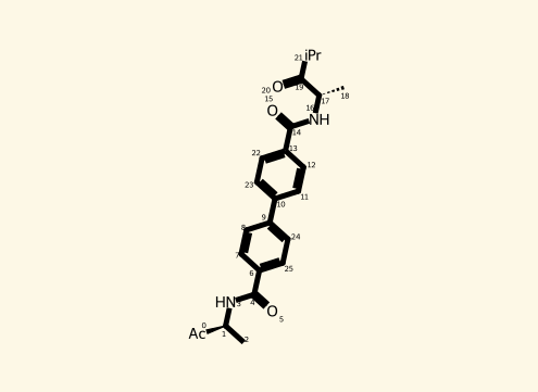 CC(=O)[C@H](C)NC(=O)c1ccc(-c2ccc(C(=O)N[C@@H](C)C(=O)C(C)C)cc2)cc1